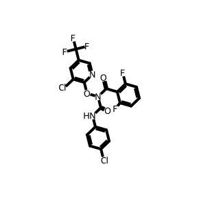 O=C(Nc1ccc(Cl)cc1)N(Oc1ncc(C(F)(F)F)cc1Cl)C(=O)c1c(F)cccc1F